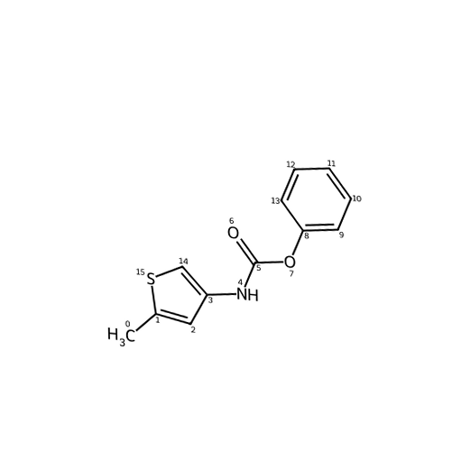 Cc1cc(NC(=O)Oc2ccccc2)cs1